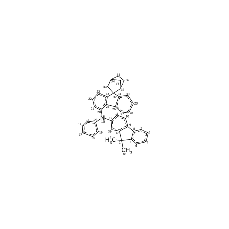 CC1(C)c2ccccc2-c2ccc(N(c3ccccc3)c3cccc4c3-c3ccccc3C43CC4CCC3C4)cc21